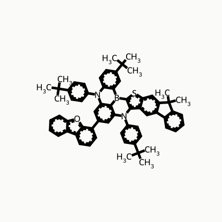 CC(C)(C)c1ccc(N2c3ccc(C(C)(C)C)cc3B3c4sc5cc6c(cc5c4N(c4ccc(C(C)(C)C)cc4)c4cc(-c5cccc7c5oc5ccccc57)cc2c43)-c2ccccc2C6(C)C)cc1